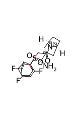 N[C@H](Cc1cc(F)c(F)cc1F)[C@@H]1C[C@H]2CC[C@@H](C1)N2C(=O)CS(=O)(=O)C1CCCCC1